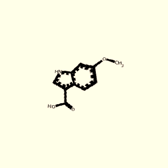 COc1ccc2c(C(=O)O)[c][nH]c2c1